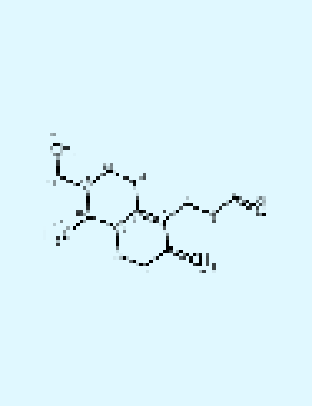 C=C1CCC2C(=C1CCC=O)CCC(CC)C2C